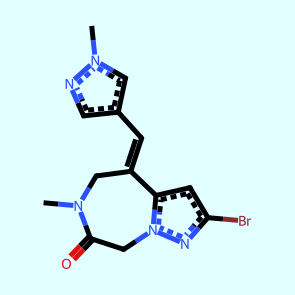 CN1C/C(=C\c2cnn(C)c2)c2cc(Br)nn2CC1=O